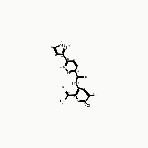 O=C(Nc1cc(Cl)c(Cl)nc1C(=O)O)c1ccc(-c2cc[nH]n2)nn1